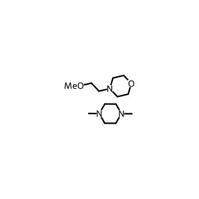 CN1CCN(C)CC1.COCCN1CCOCC1